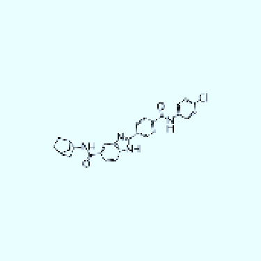 O=C(Nc1ccc(Cl)cc1)c1ccc(-c2nc3cc(C(=O)NC4CC5CCC4C5)ccc3[nH]2)cc1